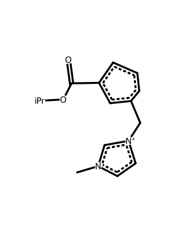 CC(C)OC(=O)c1cccc(C[n+]2ccn(C)c2)c1